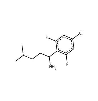 CC(C)CCC(N)c1c(F)cc(Cl)cc1F